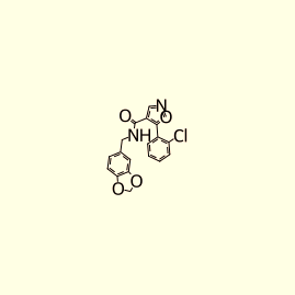 O=C(NCc1ccc2c(c1)OCO2)c1cnoc1-c1ccccc1Cl